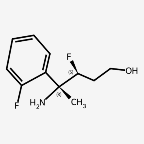 C[C@@](N)(c1ccccc1F)[C@@H](F)CCO